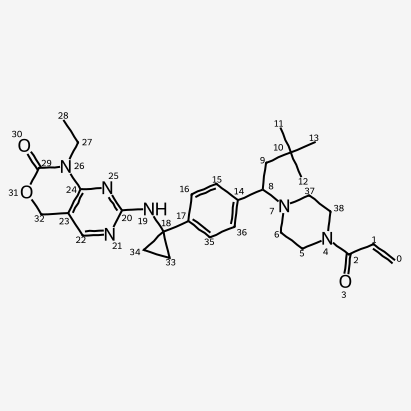 C=CC(=O)N1CCN(C(CC(C)(C)C)c2ccc(C3(Nc4ncc5c(n4)N(CC)C(=O)OC5)CC3)cc2)CC1